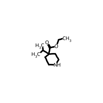 CCOC(=O)C1(C(C)C)CCNCC1